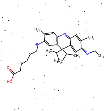 CC/N=C1/C=C2C(=Nc3cc(C)c(NCCCCCC(=O)O)cc3[Si]2(C(C)C)C(C)C)C=C1C